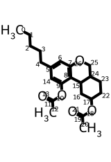 CCCCCc1cc2c(c(OC(C)=O)c1)C1CC(OC(C)=O)CCC1CO2